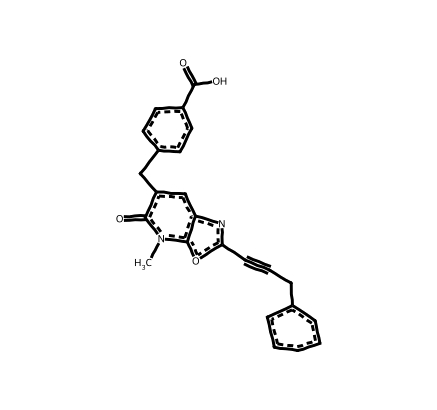 Cn1c(=O)c(Cc2ccc(C(=O)O)cc2)cc2nc(C#CCc3ccccc3)oc21